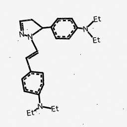 CCN(CC)c1ccc(C=CN2N=CCC2c2ccc(N(CC)CC)cc2)cc1